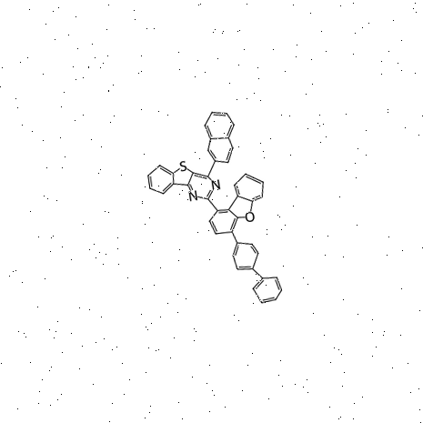 c1ccc(-c2ccc(-c3ccc(-c4nc(-c5ccc6ccccc6c5)c5sc6ccccc6c5n4)c4c3oc3ccccc34)cc2)cc1